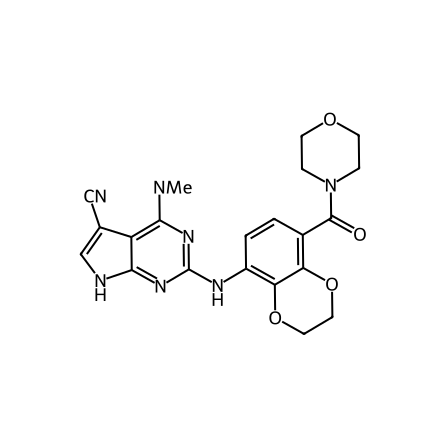 CNc1nc(Nc2ccc(C(=O)N3CCOCC3)c3c2OCCO3)nc2[nH]cc(C#N)c12